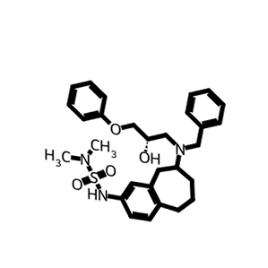 CN(C)S(=O)(=O)Nc1ccc2c(c1)CC(N(Cc1ccccc1)C[C@H](O)COc1ccccc1)CCC2